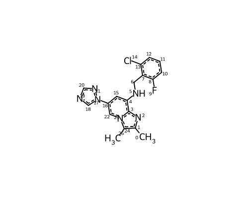 Cc1nc2c(NCc3c(F)cccc3Cl)cc(-n3cncn3)cn2c1C